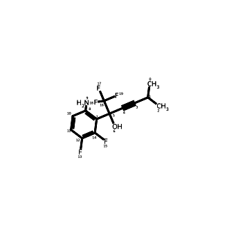 CC(C)C#CC(O)(c1c(N)ccc(F)c1F)C(F)(F)F